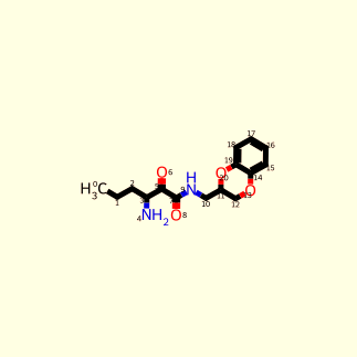 CCCC(N)C(=O)C(=O)NCC1COc2ccccc2O1